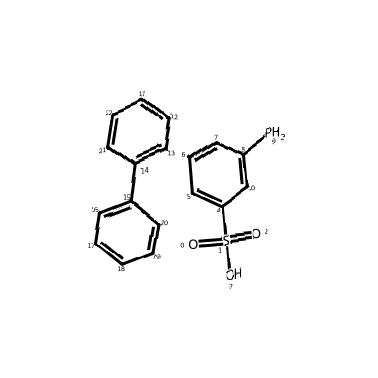 O=S(=O)(O)c1cccc(P)c1.c1ccc(-c2ccccc2)cc1